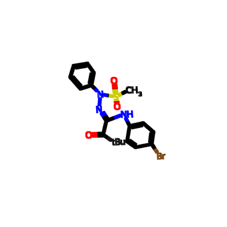 CC(C)(C)C(=O)C(=NN(c1ccccc1)S(C)(=O)=O)Nc1ccc(Br)cc1